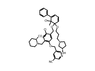 CC1(Cl)C(c2ccccc2)=CC=CC1(OCCCN1CC[C@@H](O)C1)OCc1cc(OCc2cncc(C#N)c2)c(CN2CCCC[C@H]2C(=O)O)cc1Cl